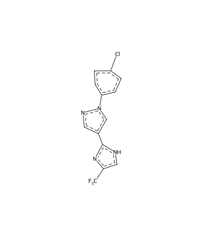 FC(F)(F)c1c[nH]c(-c2cnn(-c3ccc(Cl)cc3)c2)n1